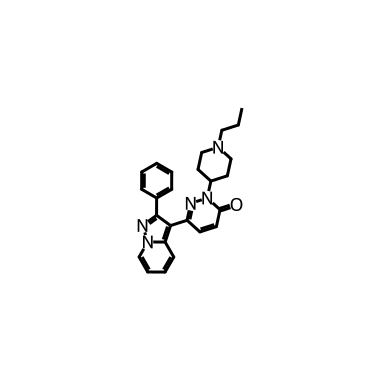 CCCN1CCC(n2nc(-c3c(-c4ccccc4)nn4ccccc34)ccc2=O)CC1